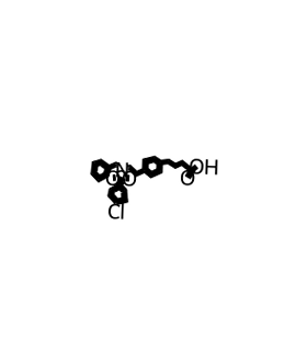 O=C(O)CCCc1ccc(CCN(Cc2ccccc2)S(=O)(=O)c2ccc(Cl)cc2)cc1